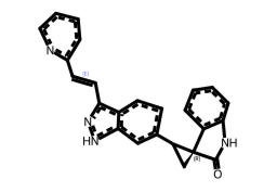 O=C1Nc2ccccc2[C@]12CC2c1ccc2c(/C=C/c3ccccn3)n[nH]c2c1